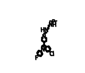 CCCNCCNCCN1CCC(c2cn(-c3ccc(F)cc3)c3cc(Cl)ccc23)CC1